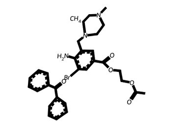 C.CC(=O)OCCOC(=O)c1cc(Br)c(N)c(CN2CCN(C)CC2)c1.O=C(c1ccccc1)c1ccccc1